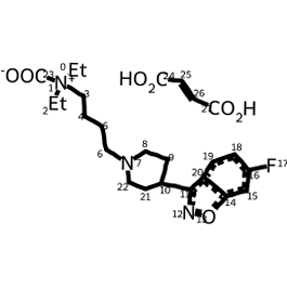 CC[N+](CC)(CCCCN1CCC(c2noc3cc(F)ccc23)CC1)C(=O)[O-].O=C(O)/C=C/C(=O)O